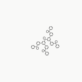 O=C(c1ccccc1)c1cccc(-c2cc(C(=O)c3cc(-c4cccc(C(=O)c5ccccc5)c4)cc(-c4cccc(C(=O)c5ccccc5)c4)c3)cc(-c3cccc(C(=O)c4ccccc4)c3)c2)c1